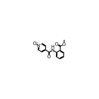 COC(=O)c1ccccc1NC(=O)c1cc[n+]([O-])cc1